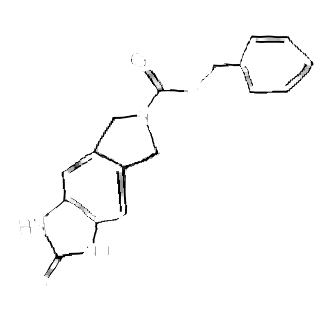 O=C(OCc1ccccc1)N1Cc2cc3[nH]c(=O)[nH]c3cc2C1